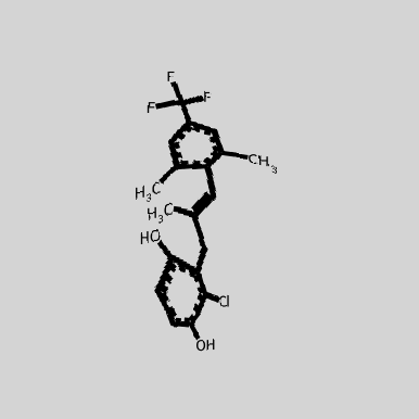 C/C(=C\c1c(C)cc(C(F)(F)F)cc1C)Cc1c(O)ccc(O)c1Cl